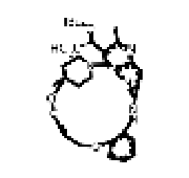 Cc1nc2cc3nn2c(c1[C@H](OC(C)(C)C)C(=O)O)N1CCC(C)(CC1)OC/C=C\COc1ccccc1CN3